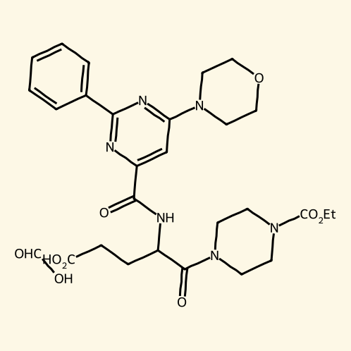 CCOC(=O)N1CCN(C(=O)C(CCC(=O)O)NC(=O)c2cc(N3CCOCC3)nc(-c3ccccc3)n2)CC1.O=CO